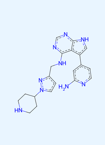 Nc1cc(-c2c[nH]c3ncnc(NCc4ccn(C5CCNCC5)n4)c23)ccn1